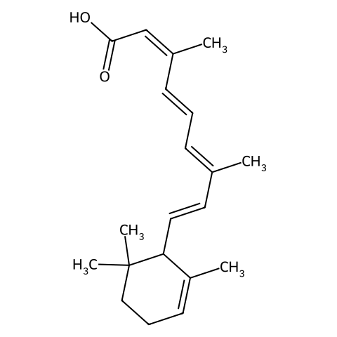 CC(=CC=C/C(C)=C\C(=O)O)/C=C/C1C(C)=CCCC1(C)C